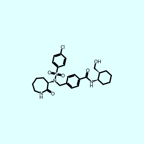 O=C(N[C@@H]1CCCC[C@@H]1CO)c1ccc(CN([C@@H]2CCCCNC2=O)S(=O)(=O)c2ccc(Cl)cc2)cc1